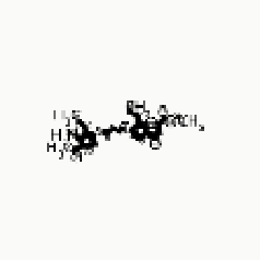 CCCc1c(SCCCOc2ccc3c(=O)cc(C(=O)OCC)oc3c2CCC)ccc(C(C)=O)c1N